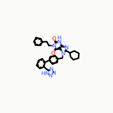 O=c1[nH]c2nc(C3CCCCC3)n(Cc3ccc(-c4ccccc4-c4nnn[nH]4)cc3)c2c(=O)n1CCc1ccccc1